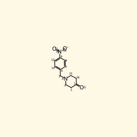 O=C1CCN(Cc2ccc([N+](=O)[O-])cc2)CC1